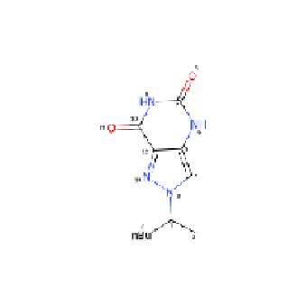 CCCCC(C)n1cc2[nH]c(=O)[nH]c(=O)c2n1